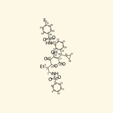 CCC(CNS(=O)(=O)c1ccccc1)C1OC(=O)C(C(c2cccc(NS(=O)(=O)c3ccc(F)cc3)c2)C2CC2)=C(O)C1=O